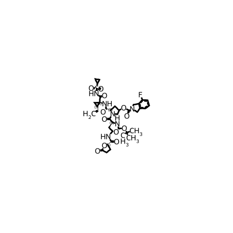 C=C[C@@H]1C[C@]1(NC(=O)[C@@H]1CC(OC(=O)N2Cc3cccc(F)c3C2)CN1C(=O)[C@H](CCNC(=O)[C@@H]1CCC(=O)O1)NC(=O)OC(C)(C)C)C(=O)NS(=O)(=O)C1CC1